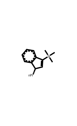 CCCC1C=C([Si](C)(C)C)c2ccccc21